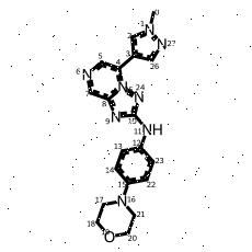 Cn1cc(-c2cncc3nc(Nc4ccc(N5CCOCC5)cc4)nn23)cn1